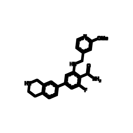 COc1cc(CNc2cc(-c3ccc4c(c3)CNCC4)cc(F)c2C(N)=O)ccn1